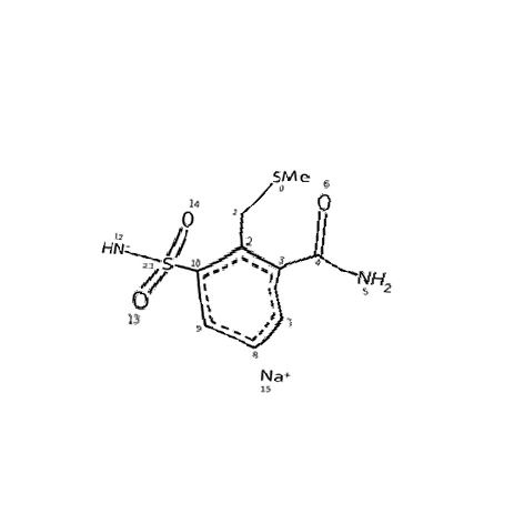 CSCc1c(C(N)=O)cccc1S([NH-])(=O)=O.[Na+]